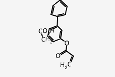 C=CC(=O)Oc1cccc(-c2ccccc2)c1.CC(=O)O